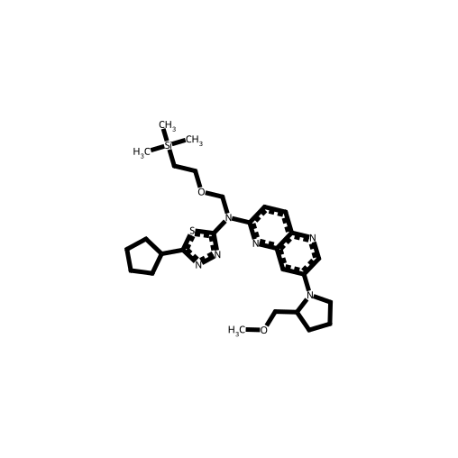 COCC1CCCN1c1cnc2ccc(N(COCC[Si](C)(C)C)c3nnc(C4CCCC4)s3)nc2c1